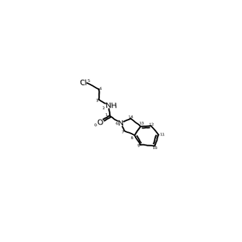 O=C(NCCCl)N1Cc2ccccc2C1